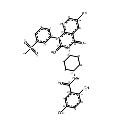 CS(=O)(=O)c1cccc(-n2c(=O)n([C@H]3CC[C@@H](NC(=O)c4cc(Cl)ccc4O)CC3)c(=O)c3cc(F)cnc32)c1